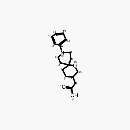 O=C(O)CC1CCC2(CCN(c3ccccc3)CC2)OC1